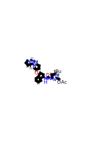 CC(=O)OCc1nc(NC(=O)N[C@H]2CC[C@@H](Oc3ccc4nnc([C@]5(C)CCCN5C)n4c3)c3ccccc32)cc(C(C)(C)C)n1